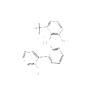 COc1ccccc1-c1ccccc1Pc1c(CO)cccc1C(C)(C)C